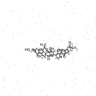 C=CC(=O)Nc1cc(Nc2nc(-c3ccnc(N4CCn5c(cc6c5CC(C)(C)C6)C4=O)c3CO)cn(C)c2=O)ccc1N1CCN(C(=O)O)C[C@@H]1C